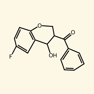 O=C(c1ccccc1)C1COc2ccc(F)cc2C1O